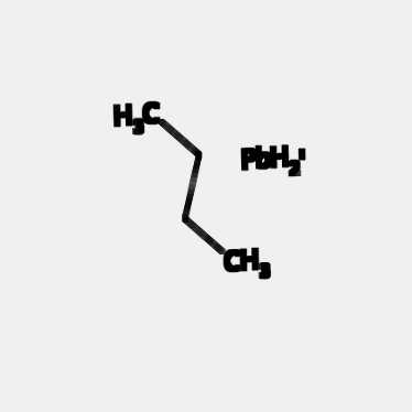 CCCC.[PbH2]